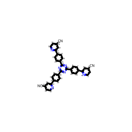 N#Cc1ccnc(-c2ccc(-c3nc(-c4ccc(-c5cc(C#N)ccn5)cc4)nc(-c4ccc(-c5cc(C#N)ccn5)cc4)n3)cc2)c1